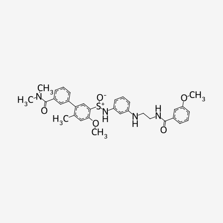 COc1cccc(C(=O)NCCNc2cccc(N[S+]([O-])c3cc(-c4cccc(C(=O)N(C)C)c4)c(C)cc3OC)c2)c1